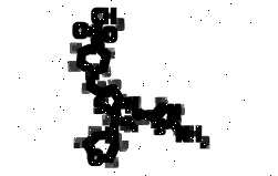 CS(=O)(=O)N1CCN(Cc2cc3nc(-c4cnc(N)s4)nc(N4CCOCC4)c3s2)CC1